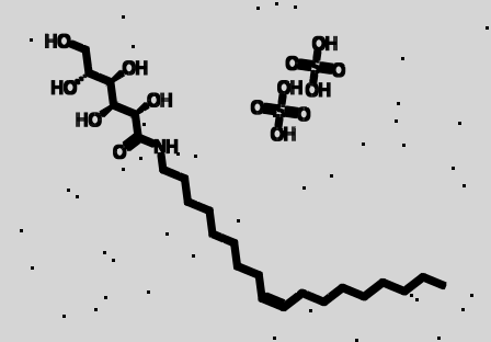 CCCCCCCC/C=C\CCCCCCCCNC(=O)[C@H](O)[C@@H](O)[C@H](O)[C@H](O)CO.O=S(=O)(O)O.O=S(=O)(O)O